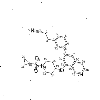 N#CCCc1cccc(-c2cc(OC3CCN(S(=O)(=O)C4CC4)CC3)c3cnccc3c2)c1